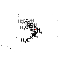 CCO[C@@H](C1C[C@@H](C)[C@H]2C(O1)[C@H](O)[C@@]1(C)C3CC[C@H]4C(C)(C)[C@@H](O[C@H]5CN(C6(C)CN(CCOC)C6)CCO5)CC[C@@]45C[C@@]35CC[C@]21C)C(C)(C)O